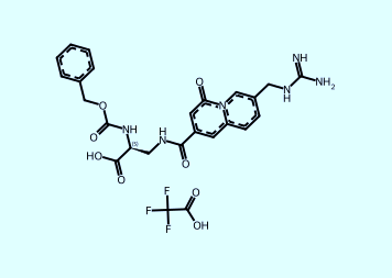 N=C(N)NCc1ccc2cc(C(=O)NC[C@H](NC(=O)OCc3ccccc3)C(=O)O)cc(=O)n2c1.O=C(O)C(F)(F)F